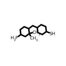 CC1(C)CC(P)CCC1CC1CCC(S)CC1